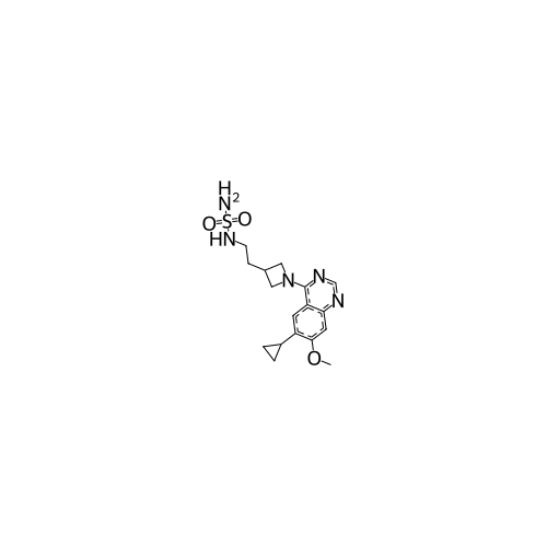 COc1cc2ncnc(N3CC(CCNS(N)(=O)=O)C3)c2cc1C1CC1